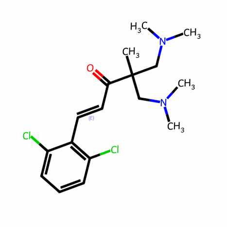 CN(C)CC(C)(CN(C)C)C(=O)/C=C/c1c(Cl)cccc1Cl